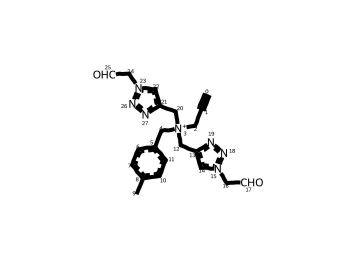 C#CC[N+](Cc1ccc(C)cc1)(Cc1cn(CC=O)nn1)Cc1cn(CC=O)nn1